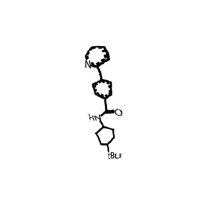 CC(C)(C)C1CCC(NC(=O)c2ccc(-c3ccccn3)cc2)CC1